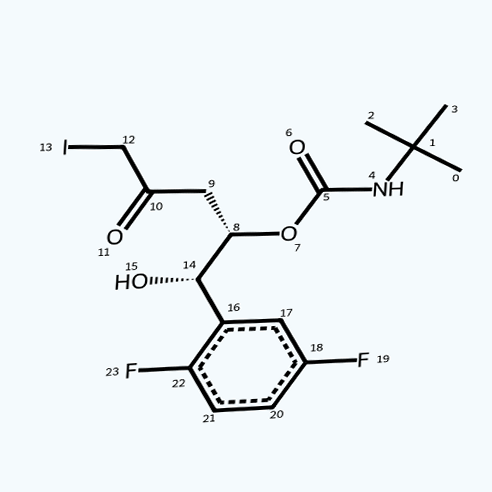 CC(C)(C)NC(=O)O[C@@H](CC(=O)CI)[C@@H](O)c1cc(F)ccc1F